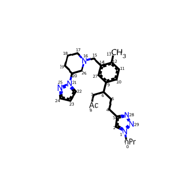 CCCn1cc(CCC(CC(C)=O)c2ccc(C)c(CN3CCCC(n4cccn4)C3)c2)nn1